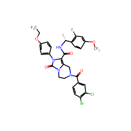 C[C@@H](NC(=O)c1c2n(c(=O)n1-c1ccc(OCC(F)(F)F)cc1)CCN(C(=O)c1ccc(Br)c(Cl)c1)C2)c1ccc(OC(F)(F)F)cc1F